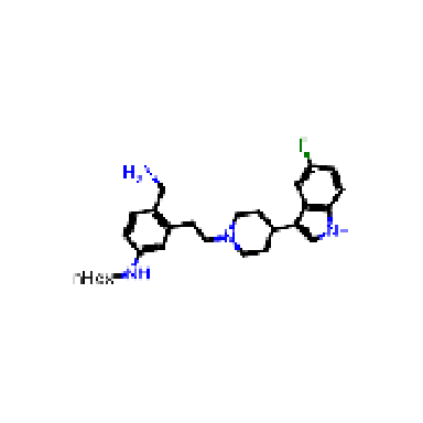 CCCCCCNc1ccc(CN)c(CCN2CCC(c3c[nH]c4ccc(F)cc34)CC2)c1